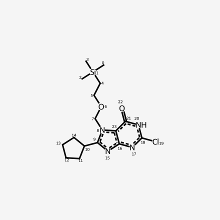 C[Si](C)(C)CCOCn1c(C2CCCC2)nc2nc(Cl)[nH]c(=O)c21